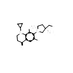 COc1c(N2CC[C@@](N)(CF)C2)c(F)cc2c1N(C1CC1)CCC2=O